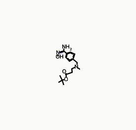 CN(CCC(=O)OC(C)(C)C)Cc1ccc(/C(N)=N\O)cc1